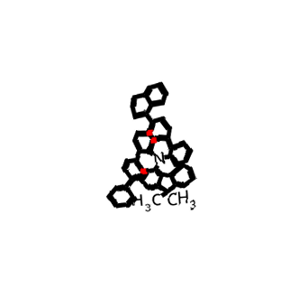 CC1(C)c2ccccc2-c2c(N(c3ccccc3-c3ccc(-c4ccccc4)cc3)c3ccccc3-c3ccc(-c4cccc5ccccc45)cc3)cccc21